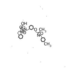 Cc1ccc(-c2nc(COc3cccc(CN(CC(=O)O)S(=O)(=O)N4CCc5ccccc54)c3)c(C)o2)cc1